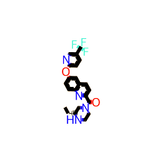 CC[C@@H]1CN(C(=O)c2ccc3cc(Oc4ccc(C(F)(F)F)cn4)ccc3n2)CCN1